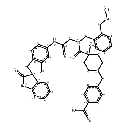 CNCc1ccccc1CN(CC(=O)Nc1ccc2c(c1)C[C@@]1(C2)C(=O)Nc2ncccc21)C(=O)C1(C)CCN(Cc2ccc(C(=O)O)cc2)CC1